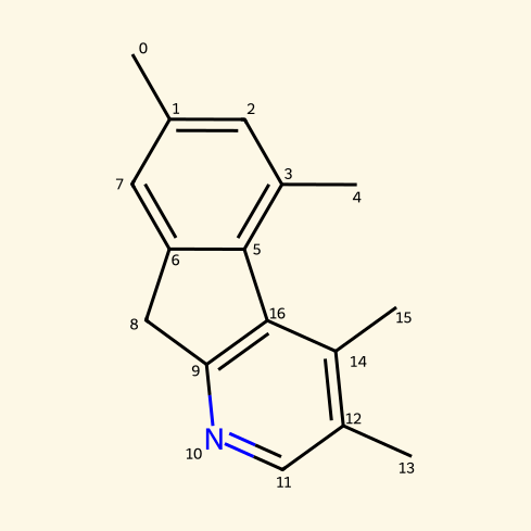 Cc1cc(C)c2c(c1)Cc1ncc(C)c(C)c1-2